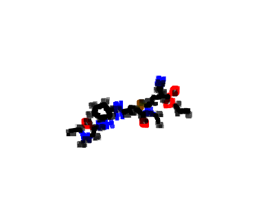 C=CCOC(=O)C(=C=c1sc(=C=CNc2cccc(NC(=O)CN(C)CC)c2)c(=O)n1CC)C#N